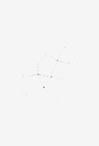 BC1(C)C(C)(C)C1(P)C(O)(F)P